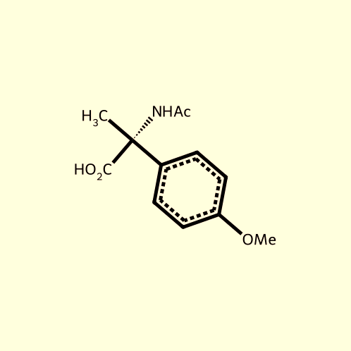 COc1ccc([C@@](C)(NC(C)=O)C(=O)O)cc1